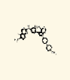 Cc1ccc2nc(Nc3ccc(-c4cn([C@H]5CC[C@@H](N6CCN(C)CC6)CC5)c5ncnc(N)c45)cc3)ncc2c1F